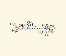 CC(C)(CCCN(CCCCCCN([Si](C)(C)C)[Si](C)(C)C)[Si](C)(C)C)O[SiH3]